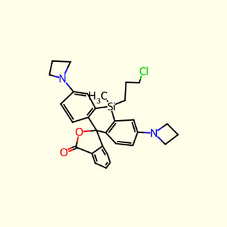 C[Si]1(CCCCl)c2cc(N3CCC3)ccc2C2(OC(=O)c3ccccc32)c2ccc(N3CCC3)cc21